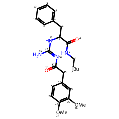 CCC(C)CNC(=O)C(Cc1ccccc1)NC(N)=NC(=O)Cc1ccc(OC)c(OC)c1